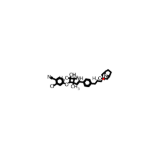 CCN1C2CCC1CN(CCCc1ccc(C3=CC4(C)C(Oc5ccc(C#N)c(Cl)c5)C(C)(C)[C@H]4N3)cc1)C2